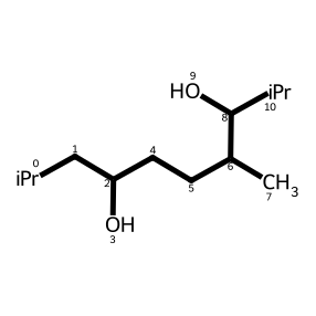 CC(C)CC(O)CCC(C)C(O)C(C)C